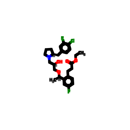 CCOC(=O)CCc1ccc(F)cc1[C@@H](C)OC[C@H](O)CN1CCC[C@H]1Cc1ccc(Cl)c(F)c1